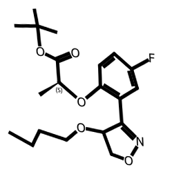 CCCCOC1CON=C1c1cc(F)ccc1O[C@@H](C)C(=O)OC(C)(C)C